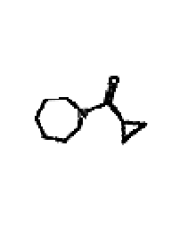 O=C(C1CC1)N1CC[CH]CCC1